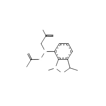 CC(=O)NN(CC(=O)O)c1cccc2c1B(O)OC2I